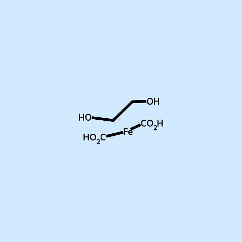 O=[C](O)[Fe][C](=O)O.OCCO